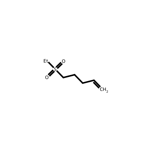 C=CCCCS(=O)(=O)CC